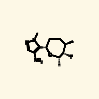 C[C@@H]1CC[C@@H](c2c([N+](=O)[O-])cnn2C)O[C@@H](C)[C@H]1F